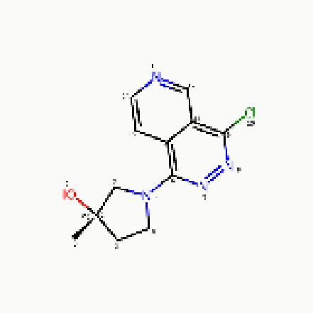 C[C@]1(O)CCN(c2nnc(Cl)c3cnccc23)C1